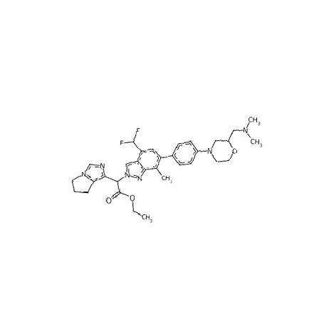 CCOC(=O)C(c1ncn2c1CCC2)n1cc2c(C(F)F)cc(-c3ccc(N4CCOC(CN(C)C)C4)cc3)c(C)c2n1